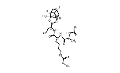 CC(C)C[C@H](NC(=O)[C@H](CCCCNC(=O)OC(C)(C)C)NC(=O)[C@H](C)NC(=O)C(C)C)B1O[C@@H]2C[C@@H]3C[C@@H](C3(C)C)[C@]2(C)O1